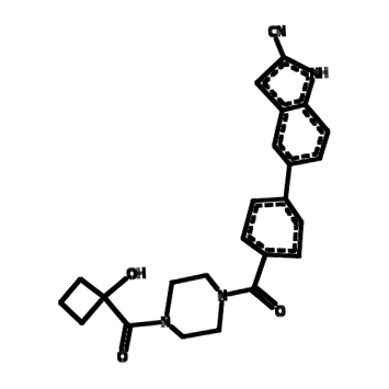 N#Cc1cc2cc(-c3ccc(C(=O)N4CCN(C(=O)C5(O)CCC5)CC4)cc3)ccc2[nH]1